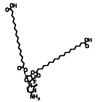 C=C1N=C(N)C=CN1[C@@H]1O[C@H](COC(=O)CCCCCCCCCCCCCCCCCC(=O)O)C(OC(=O)CCCCCCCCCCCCCCCCCC(=O)O)C1(F)F